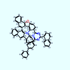 c1ccc(-c2ccc(-c3nc(-c4ccc5oc6c7ccccc7ccc6c5c4-n4c5ccccc5c5cc6ccccc6cc54)nc(-c4cccc5ccccc45)n3)cc2)cc1